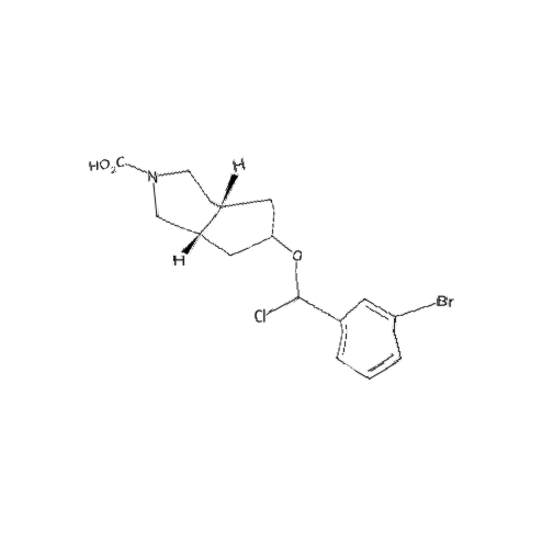 O=C(O)N1C[C@H]2CC(OC(Cl)c3cccc(Br)c3)C[C@H]2C1